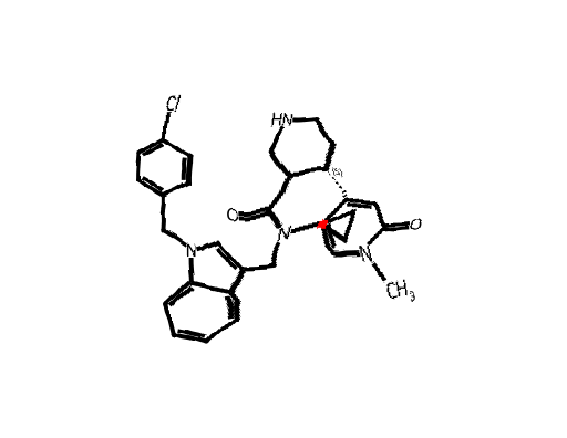 Cn1ccc([C@H]2CCNCC2C(=O)N(Cc2cn(Cc3ccc(Cl)cc3)c3ccccc23)C2CC2)cc1=O